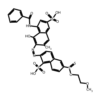 COCCOS(=S)c1ccc2c(S(=O)(=O)O)c(/N=N\c3c(C)cc4cc(S(=O)(=O)O)cc(NC(=O)c5ccccc5)c4c3O)ccc2c1